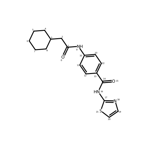 O=C(CC1CCCCC1)Nc1ccc(C(=O)Nc2nccs2)cc1